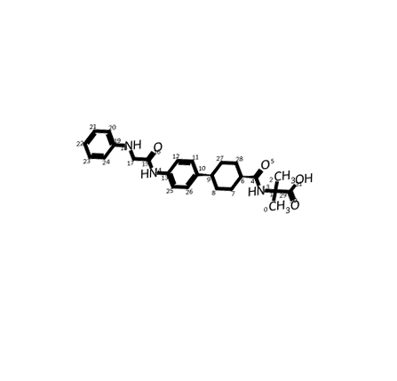 CC(C)(NC(=O)[C@H]1CC[C@@H](c2ccc(NC(=O)CNc3ccccc3)cc2)CC1)C(=O)O